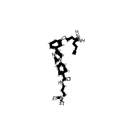 C#CCCC1(CCOc2cccc(-c3cn4c(n3)sc3cc(C(=O)NCCCN(CC)CC)ccc34)c2)NN1